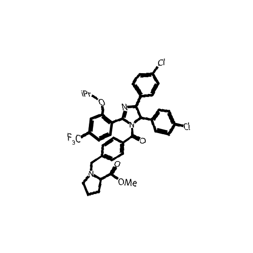 COC(=O)C1CCCN1Cc1ccc(C(=O)N2C(c3ccc(C(F)(F)F)cc3OC(C)C)=NC(c3ccc(Cl)cc3)C2c2ccc(Cl)cc2)cc1